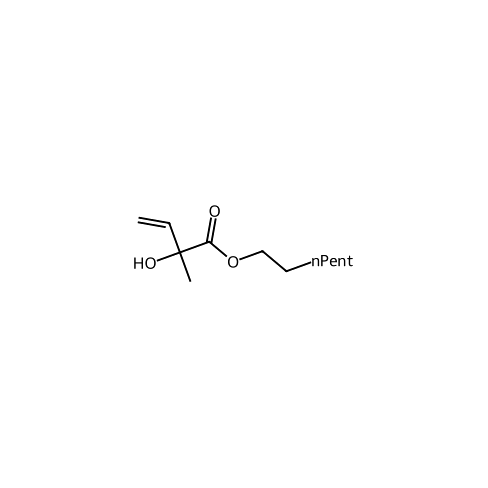 C=CC(C)(O)C(=O)OCCCCCCC